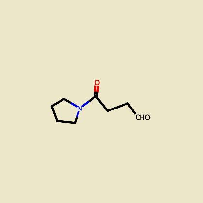 O=[C]CCC(=O)N1CCCC1